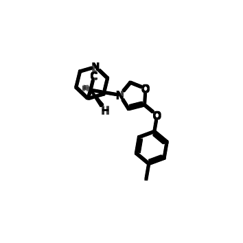 Cc1ccc(OC2=CN([C@H]3CN4CCC3CC4)CO2)cc1